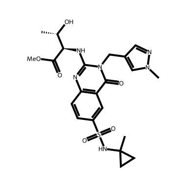 COC(=O)[C@H](Nc1nc2ccc(S(=O)(=O)NC3(C)CC3)cc2c(=O)n1Cc1cnn(C)c1)[C@H](C)O